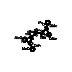 CCCCc1c(-c2sc(-c3c(OC)cccc3OC(C)C)cc2-c2ccc(OC)nc2)sc(-c2sc(-c3sc(-c4sc(-c5c(OC)cccc5OC(C)C)cc4-c4ccc(OC)nc4)c(CCCC)c3CCCC)c(CCCC)c2CCCC)c1CCCC